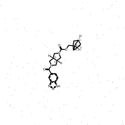 CC1C2[C@@H]3C[C@@H]1CC23COC(=O)N1C[C@@H]2CN(C(=O)c3ccc4[nH]nnc4c3)C[C@@H]2C1